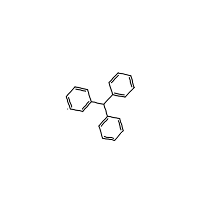 [c]1cccc(C(c2ccccc2)c2ccccc2)c1